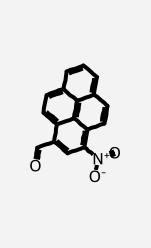 O=Cc1cc([N+](=O)[O-])c2ccc3cccc4ccc1c2c43